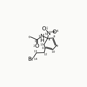 CC(=O)NC1([N+](=O)[O-])C=CC=C(CCBr)C1